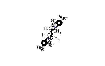 CC(C)(CCC(C)(C)/N=C/c1ccc([N+](=O)[O-])cc1[N+](=O)[O-])/N=C/c1ccc([N+](=O)[O-])cc1[N+](=O)[O-]